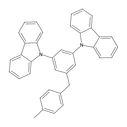 Cc1ccc(Cc2cc(-n3c4ccccc4c4ccccc43)cc(-n3c4ccccc4c4ccccc43)c2)cc1